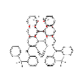 CC1(C)c2ccccc2N(c2ccc(N3c4ccccc4C(C)(C)c4ccccc43)c(-c3c(N4c5ccccc5C(C)(C)c5ccccc54)ccc(N4c5ccccc5C(C)(C)c5ccccc54)c3C#N)c2C#N)c2ccccc21